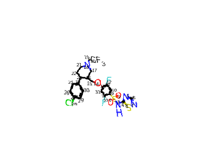 O=S(=O)(Nc1ncns1)c1cc(F)c(OCC2CN(CC(F)(F)F)CCC2c2ccc(Cl)cc2)cc1F